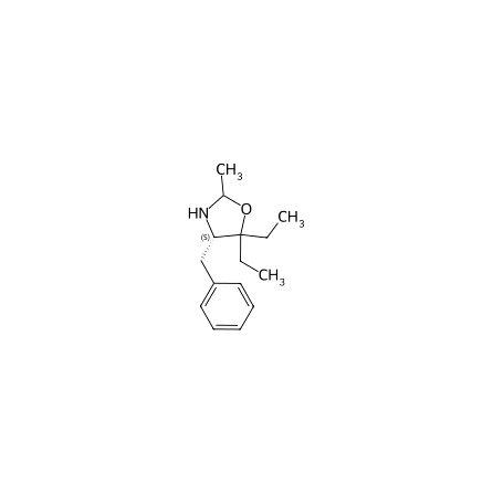 CCC1(CC)OC(C)N[C@H]1Cc1ccccc1